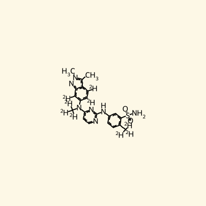 [2H]c1c(N(c2ccnc(Nc3ccc(C([2H])([2H])[2H])c(S(N)(=O)=O)c3)n2)C([2H])([2H])[2H])c([2H])c2nn(C)c(C)c2c1[2H]